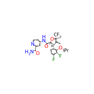 CC(C)Oc1c([C@@H]2[C@@H](C(=O)Nc3ccnc(C(N)=O)c3)O[C@](C)(C(F)(F)F)[C@H]2C)ccc(F)c1F